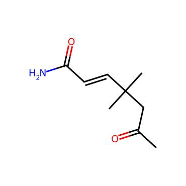 CC(=O)CC(C)(C)C=CC(N)=O